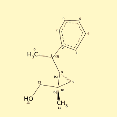 C[C@H](c1ccccc1)[C@@H]1C[C@]1(C)CO